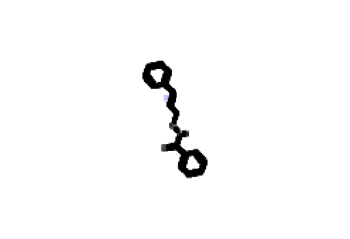 O=C(NOC/C=C/c1ccccc1)c1ccccc1